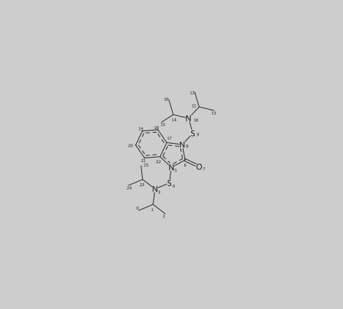 CC(C)N(Sn1c(=O)n(SN(C(C)C)C(C)C)c2ccccc21)C(C)C